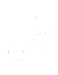 Clc1nc(Cl)c2ccc([C@@H]3O[C@H](COCc4ccccc4)[C@@H](OCc4ccccc4)[C@H]3OCc3ccccc3)cc2n1